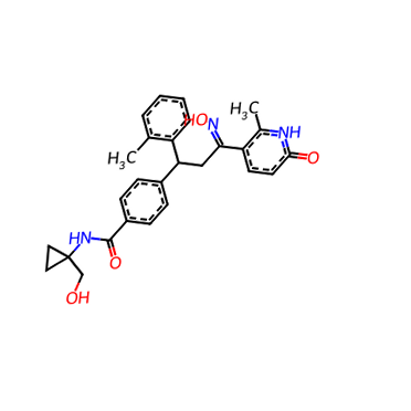 Cc1ccccc1C(C/C(=N\O)c1ccc(=O)[nH]c1C)c1ccc(C(=O)NC2(CO)CC2)cc1